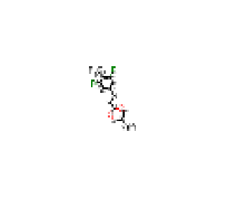 CCCC1COC(CCc2cc(F)c(C(F)(F)F)c(F)c2)OC1